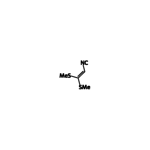 [C-]#[N+]C=C(SC)SC